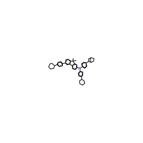 CC1(C)c2ccc(-c3ccc(C4CCCCC4)cc3)cc2-c2ccc(N(c3ccc(C4CCCCC4)cc3)c3ccc(C4CC5CCC4C5)cc3)cc21